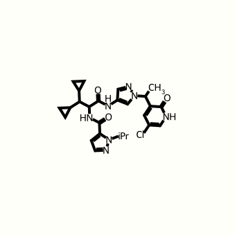 CC(c1cc(Cl)c[nH]c1=O)n1cc(NC(=O)C(NC(=O)c2ccnn2C(C)C)C(C2CC2)C2CC2)cn1